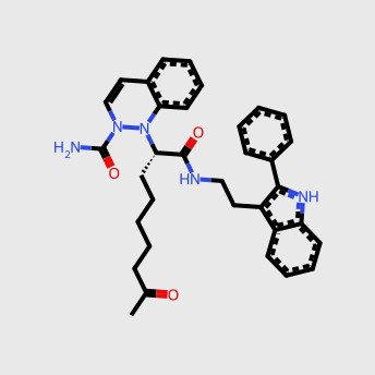 CC(=O)CCCCC[C@@H](C(=O)NCCc1c(-c2ccccc2)[nH]c2ccccc12)N1c2ccccc2C=CN1C(N)=O